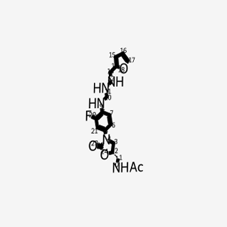 CC(=O)NC[C@H]1CN(c2ccc(NCNNCc3ccco3)c(F)c2)C(=O)O1